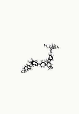 C[Si](C)(C)C#Cc1ccc2c(c1)nc(CN1CCC(c3cccc(OCc4ccc(Cl)cc4F)n3)CC1)n2C[C@@H]1CCO1